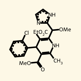 CCOC(=O)C1=C(C(OC)c2ncc[nH]2)NC(C)=C(C(=O)OC)C1c1ccccc1Cl